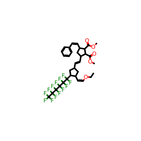 CCO/C=C\C1CC(/C=C/C2CC(/C=C\c3ccccc3)C(C(=O)OC)C2C(=O)OC)CC1C(F)(F)C(F)(F)C(F)(F)C(F)(F)C(F)(F)C(F)(F)F